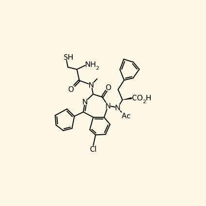 CC(=O)N([C@@H](Cc1ccccc1)C(=O)O)N1C(=O)C(N(C)C(=O)C(N)CS)N=C(c2ccccc2)c2cc(Cl)ccc21